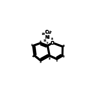 C1=Cc2ccccc2OC1.[Cu].[Ni]